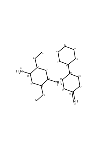 CCC1CC(N)C(CC)CC1N.N=C1CCC(C2CCCCC2)CC1